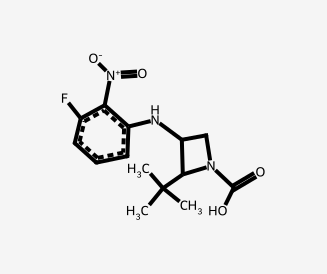 CC(C)(C)C1C(Nc2cccc(F)c2[N+](=O)[O-])CN1C(=O)O